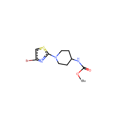 CC(C)(C)OC(=O)NC1CCN(c2nc(Br)cs2)CC1